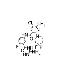 Cc1nc(N2CCCC(F)(F)CC2)c(C(=O)Nc2ccc(F)c(C(=O)NC(=N)N)c2)cc1Cl